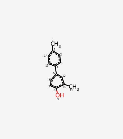 Cc1ccc(-c2ccc(O)c(C)c2)cc1